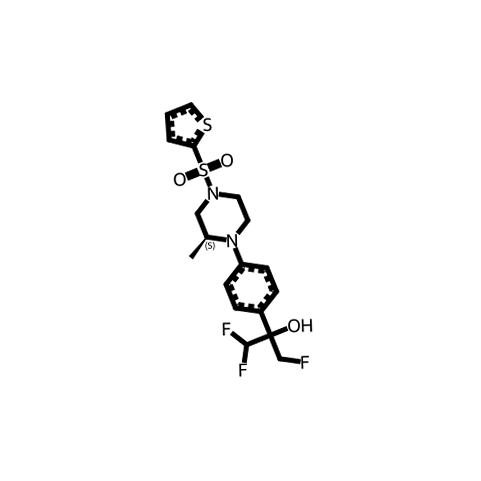 C[C@H]1CN(S(=O)(=O)c2cccs2)CCN1c1ccc(C(O)(CF)C(F)F)cc1